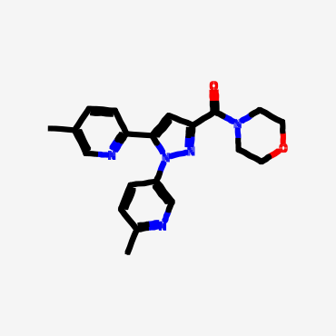 Cc1ccc(-c2cc(C(=O)N3CCOCC3)nn2-c2ccc(C)nc2)nc1